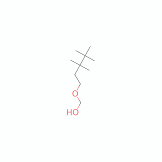 CC(C)(C)C(C)(C)CCOCO